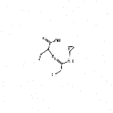 CCC(Br)C(=O)O.O=C(CCl)NC1CC1